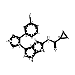 O=C(Nc1nc2[nH]nc(-n3cncc3-c3cccc(F)c3)c2s1)C1CC1